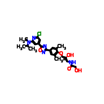 Cc1cc(-c2noc(-c3cc(Cl)nc(N(C)C(C)C)c3)n2)cc(C)c1OC[C@H](O)CNC(=O)CO